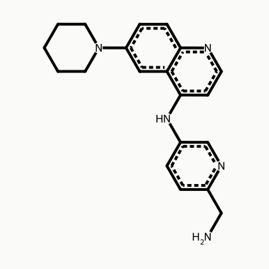 NCc1ccc(Nc2ccnc3ccc(N4CCCCC4)cc23)cn1